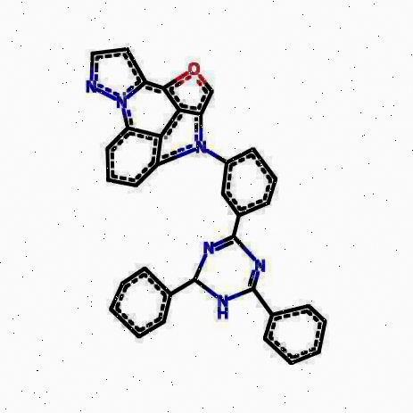 c1ccc(C2=NC(c3cccc(-n4c5coc6c5c5c4cccc5n4nccc64)c3)=NC(c3ccccc3)N2)cc1